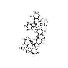 CC1(C)c2ccccc2N(c2ccc3sc4ccc(-c5c6n(c7ccccc57)-c5ccccc5C6(C)C)cc4c3c2)c2ccccc21